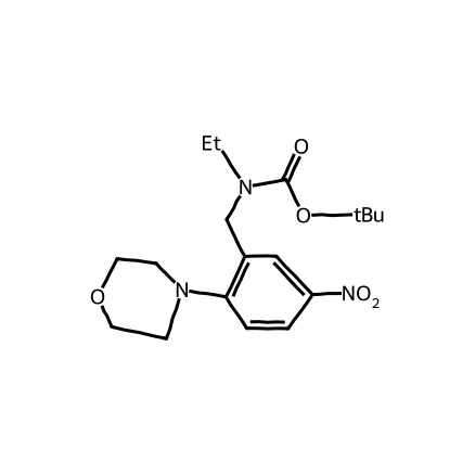 CCN(Cc1cc([N+](=O)[O-])ccc1N1CCOCC1)C(=O)OC(C)(C)C